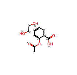 CC(=O)Oc1ccccc1C(=O)O.OCCO